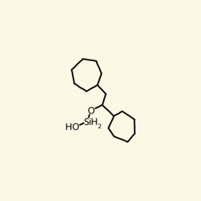 O[SiH2]OC(CC1CCCCCC1)C1CCCCCC1